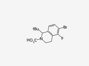 CC(C)(C)C1c2ccc(Br)c(F)c2CCN1C(=O)O